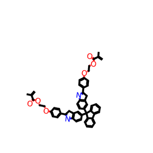 C=C(C)C(=O)OCCOc1ccc(C2=Nc3ccc(C4(c5ccc6c(c5)CC(c5ccc(OCCOC(=O)C(=C)C)cc5)=N6)c5ccccc5-c5ccccc54)cc3C2)cc1